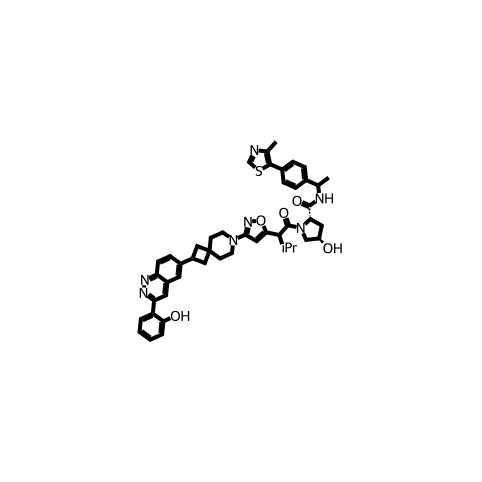 Cc1ncsc1-c1ccc(C(C)NC(=O)[C@@H]2C[C@@H](O)CN2C(=O)C(c2cc(N3CCC4(CC3)CC(c3ccc5nnc(-c6ccccc6O)cc5c3)C4)no2)C(C)C)cc1